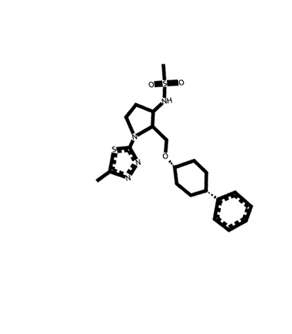 Cc1nnc(N2CCC(NS(C)(=O)=O)C2CO[C@H]2CC[C@@H](c3ccccc3)CC2)s1